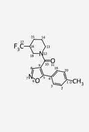 Cc1ccc(-c2oncc2C(=O)N2CCCC(C(F)(F)F)C2)cc1